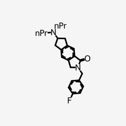 CCCN(CCC)C1Cc2cc3c(cc2C1)C(=O)N(Cc1ccc(F)cc1)C3